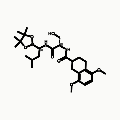 COc1ccc(OC)c2c1CCC(C(=O)N[C@@H](CO)C(=O)N[C@@H](CC(C)C)B1OC(C)(C)C(C)(C)O1)C2